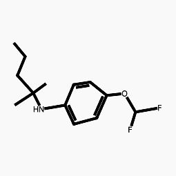 CCCC(C)(C)Nc1ccc(OC(F)F)cc1